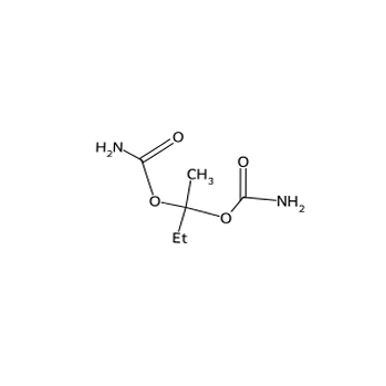 CCC(C)(OC(N)=O)OC(N)=O